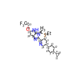 CCSc1cc(-c2ccc(C3CC3)cc2)cnc1-c1nc2cc(OCC(F)(F)F)[nH]c2n1C